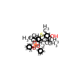 Cc1cc(O)c(C(C)(C)C)cc1Sc1cc(C(C)(C)C)c(OP(Oc2ccccc2)Oc2ccccc2)cc1C